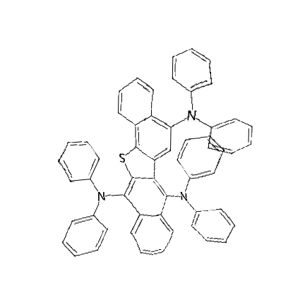 c1ccc(N(c2ccccc2)c2cc3c(sc4c(N(c5ccccc5)c5ccccc5)c5ccccc5c(N(c5ccccc5)c5ccccc5)c43)c3ccccc23)cc1